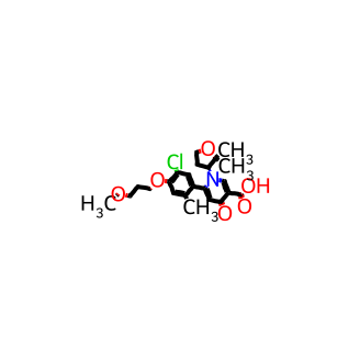 COCCCOc1cc(C)c(-c2cc(=O)c(C(=O)O)cn2[C@H]2CCOC2(C)C)cc1Cl